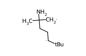 [CH2]C(C)(N)CC[CH]C(C)(C)C